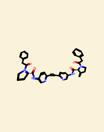 C=C1CCN(C(=O)Cc2ccccc2)[C@@H]1C(=O)Nc1ccc(C#Cc2ccc(NC(=O)[C@@H]3CCCN3C(=O)Cc3ccccc3)cn2)nc1